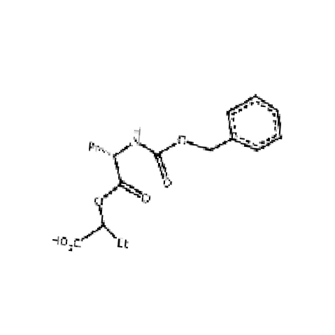 CCC(OC(=O)[C@@H](NC(=O)OCc1ccccc1)C(C)C)C(=O)O